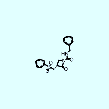 O=C(NCc1ccccc1)N1C[C@@H](CS(=O)(=O)c2ccccc2)C1=O